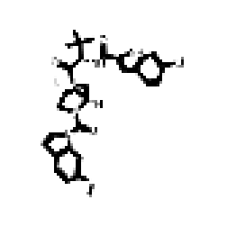 COc1ccc2ccn(C(=O)N3C[C@@H]4C[C@H]3CN4C(=O)[C@@H](NC(=O)c3cc4ccc(Cl)cc4[nH]3)C(C)(C)C)c2c1